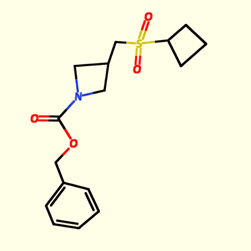 O=C(OCc1ccccc1)N1CC(CS(=O)(=O)C2CCC2)C1